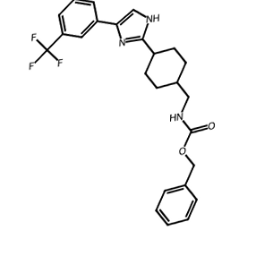 O=C(NCC1CCC(c2nc(-c3cccc(C(F)(F)F)c3)c[nH]2)CC1)OCc1ccccc1